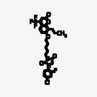 CCCc1c(OCCCCCN2C(=O)CN(c3ccc(Cl)cc3F)C2=O)ccc2c(C(F)(F)F)cc(=O)oc12